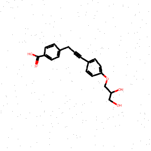 O=C(O)c1ccc(CC#Cc2ccc(OCC(O)CO)cc2)cc1